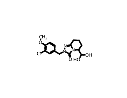 COc1ccc(Cn2nc3n(c2=O)C(C(O)O)CCC3)cc1Cl